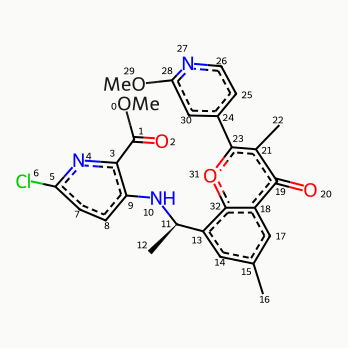 COC(=O)c1nc(Cl)ccc1N[C@H](C)c1cc(C)cc2c(=O)c(C)c(-c3ccnc(OC)c3)oc12